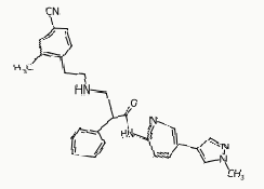 Cc1cc(C#N)ccc1CCNCC(C(=O)Nc1ccc(-c2cnn(C)c2)cn1)c1ccccc1